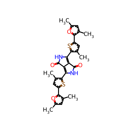 Cc1cc(C)c(-c2cc(C)c(C3=C4C(=O)NC(c5sc(-c6oc(C)cc6C)cc5C)=C4C(=O)N3)s2)o1